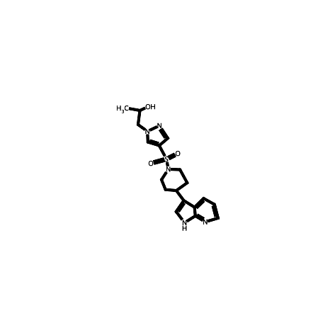 CC(O)Cn1cc(S(=O)(=O)N2CCC(c3c[nH]c4ncccc34)CC2)cn1